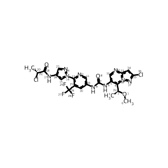 CO[C@@H](C)c1c(NC(=O)Nc2cnc(-n3cc(NC(=O)[C@H](C)Cl)cn3)c(C(F)(F)F)c2)cnc2cc(Cl)nn12